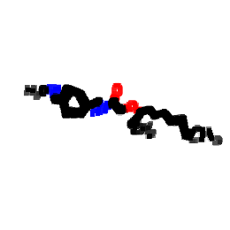 C=CC(CCCCCCC)OCC(=O)NCc1ccc(CNC)cc1